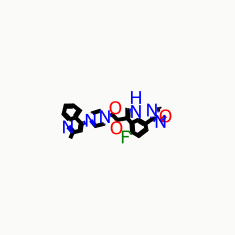 Cc1cc(N2CCN(C(=O)C(=O)c3c[nH]c4c(-c5ncon5)ccc(F)c34)CC2)c2ccccc2n1